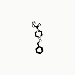 CC(C)(C)OC(=O)N1CCN(OCc2ccccc2)CC1